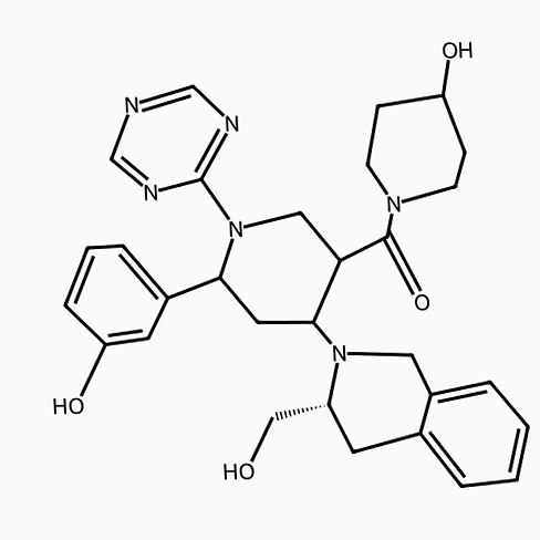 O=C(C1CN(c2ncncn2)C(c2cccc(O)c2)CC1N1Cc2ccccc2C[C@@H]1CO)N1CCC(O)CC1